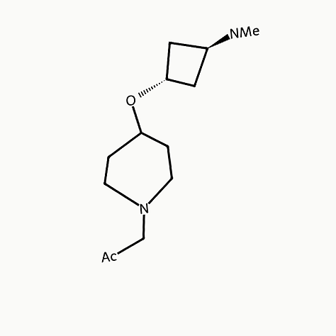 CN[C@H]1C[C@H](OC2CCN(CC(C)=O)CC2)C1